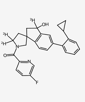 [2H]C1(O)CC2(CN(C(=O)c3ccc(F)cn3)C([2H])([2H])C2)c2ccc(-c3ccccc3C3CC3)cc21